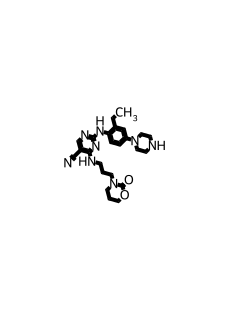 CCc1cc(N2CCNCC2)ccc1Nc1ncc(C#N)c(NCCCN2CCCOC2=O)n1